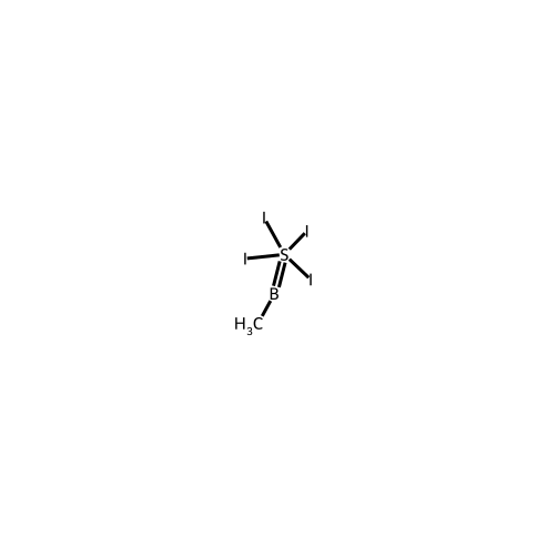 CB=S(I)(I)(I)I